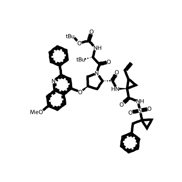 C=CC1C[C@]1(NC(=O)[C@@H]1C[C@@H](Oc2cc(-c3ccccc3)nc3cc(OC)ccc23)CN1C(=O)[C@@H](NC(=O)OC(C)(C)C)C(C)(C)C)C(=O)NS(=O)(=O)C1(Cc2ccccc2)CC1